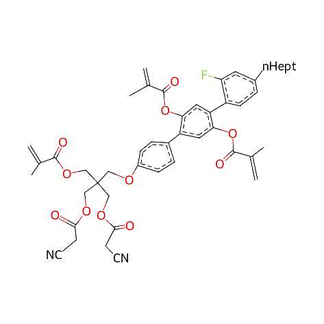 C=C(C)C(=O)OCC(COC(=O)CC#N)(COC(=O)CC#N)COc1ccc(-c2cc(OC(=O)C(=C)C)c(-c3ccc(CCCCCCC)cc3F)cc2OC(=O)C(=C)C)cc1